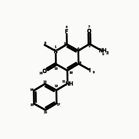 Cn1c(F)c(C(N)=O)c(I)c(Nc2ccccc2)c1=O